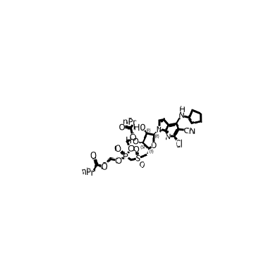 CCCC(=O)OCOP(=O)(CS(=O)(=O)C[C@H]1O[C@@H](n2ccc3c(NC4CCCC4)c(C#N)c(Cl)nc32)[C@H](O)[C@@H]1O)OCOC(=O)CCC